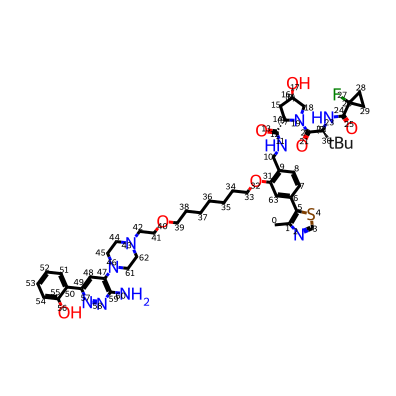 Cc1ncsc1-c1ccc(CNC(=O)[C@@H]2C[C@@H](O)CN2C(=O)[C@@H](NC(=O)C2(F)CC2)C(C)(C)C)c(OCCCCCCCOCCN2CCN(c3cc(-c4ccccc4O)nnc3N)CC2)c1